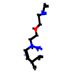 CCC(/C=C\N(N)CCOCCNC(C)(C)C)C(C)(C)C